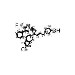 CCn1cc(-c2ccccc2[C@@H]2CN(C(=O)/C=C/CN3CCC(O)C3)Cc3sc(Cl)cc32)c(C(F)(F)F)n1